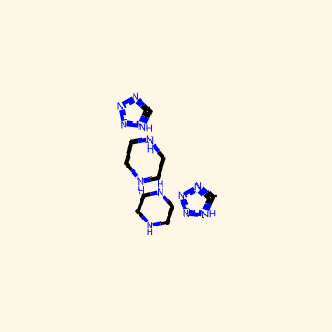 C1CNCCN1.C1CNCCN1.c1nnn[nH]1.c1nnn[nH]1